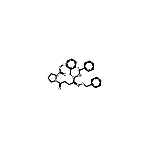 CC(C)(C)OC(=O)[C@@H]1CCCN1C(=O)CCC(=NOCc1ccccc1)[C@@H](Cc1ccccc1)NC(=O)c1ccccc1